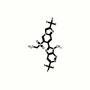 CCS(=O)(=O)c1cn2cc(C(F)(F)F)nc2cc1-c1nc2cc(C(F)(F)F)nnc2n1C